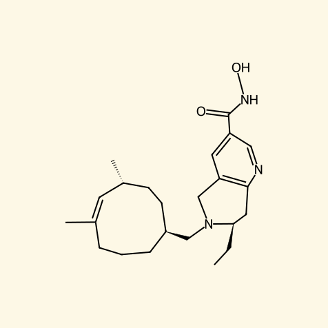 CC[C@@H]1Cc2ncc(C(=O)NO)cc2CN1C[C@H]1CCC/C(C)=C\[C@H](C)CC1